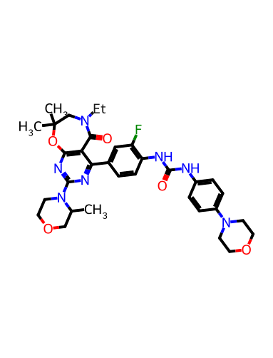 CCN1CC(C)(C)Oc2nc(N3CCOCC3C)nc(-c3ccc(NC(=O)Nc4ccc(N5CCOCC5)cc4)c(F)c3)c2C1=O